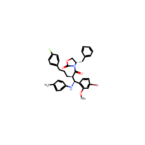 CCCCOc1cc(Br)ccc1[C@@H](Nc1ccc(C)cc1)[C@@H](CCCc1ccc(F)cc1)C(=O)N1C(=O)OC[C@@H]1Cc1ccccc1